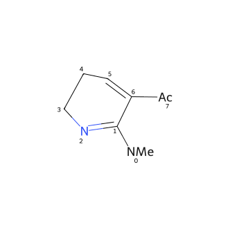 CNC1=NCCC=C1C(C)=O